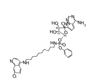 N#C[C@@]1(c2ccc3c(N)ncnn23)O[C@H](COP(=O)(NCCCCCCCCCCNc2ccnc3cc(Cl)ccc23)Oc2ccccc2)[C@@H](O)[C@H]1O